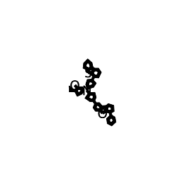 c1ccc(-c2cccc3c2oc2ccc(-c4ccc(N(c5ccc(-c6cccc7c6sc6ccccc67)cc5)c5ccc6c(c5)OCC6)cc4)cc23)cc1